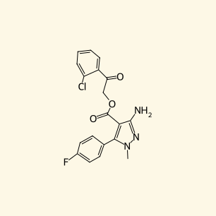 Cn1nc(N)c(C(=O)OCC(=O)c2ccccc2Cl)c1-c1ccc(F)cc1